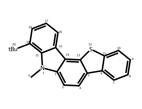 Cn1c2ccc3c4ccccc4sc3c2c2cccc(C(C)(C)C)c21